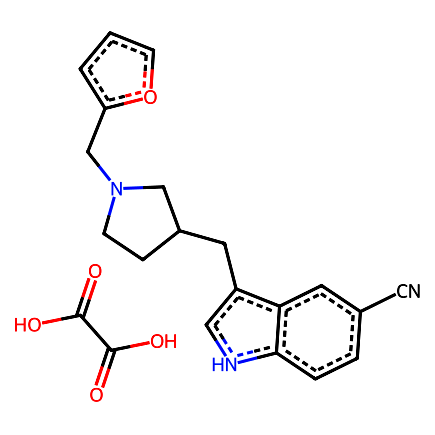 N#Cc1ccc2[nH]cc(CC3CCN(Cc4ccco4)C3)c2c1.O=C(O)C(=O)O